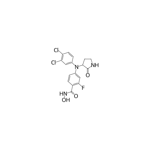 O=C(NO)c1ccc(N(c2ccc(Cl)c(Cl)c2)C2CCNC2=O)cc1F